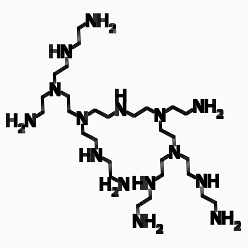 NCCNCCN(CCN)CCN(CCNCCN)CCNCCN(CCN)CCN(CCNCCN)CCNCCN